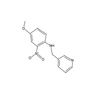 COc1ccc(NCc2cccnc2)c([N+](=O)[O-])c1